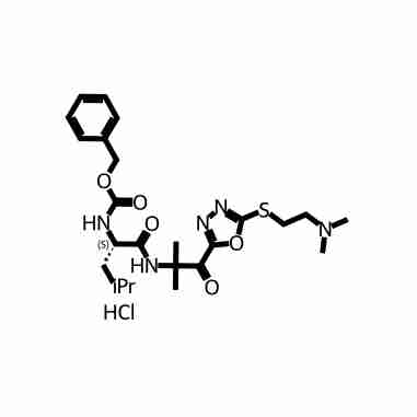 CC(C)C[C@H](NC(=O)OCc1ccccc1)C(=O)NC(C)(C)C(=O)c1nnc(SCCN(C)C)o1.Cl